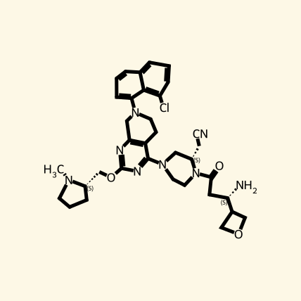 CN1CCC[C@H]1COc1nc2c(c(N3CCN(C(=O)C[C@H](N)C4COC4)[C@@H](CC#N)C3)n1)CCN(c1cccc3cccc(Cl)c13)C2